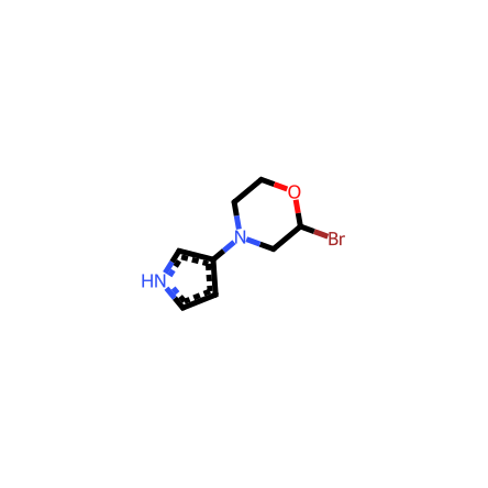 BrC1CN(c2cc[nH]c2)CCO1